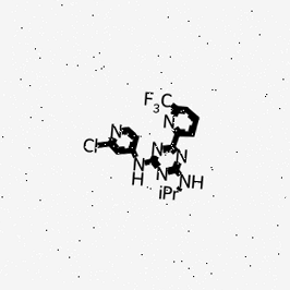 CC(C)Nc1nc(Nc2ccnc(Cl)c2)nc(-c2cccc(C(F)(F)F)n2)n1